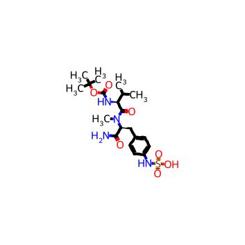 CC(C)[C@H](NC(=O)OC(C)(C)C)C(=O)N(C)[C@@H](Cc1ccc(NS(=O)(=O)O)cc1)C(N)=O